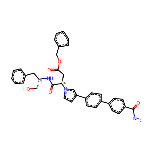 NC(=O)c1ccc(-c2ccc(-c3ccn([C@H](CC(=O)OCc4ccccc4)C(=O)N[C@H](CO)Cc4ccccc4)c3)cc2)cc1